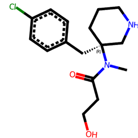 CN(C(=O)CCO)[C@@]1(Cc2ccc(Cl)cc2)CCCNC1